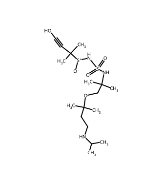 CC(C)NCCC(C)(C)OCC(C)(C)NS(=O)(=O)N[S+]([O-])C(C)(C)C#CO